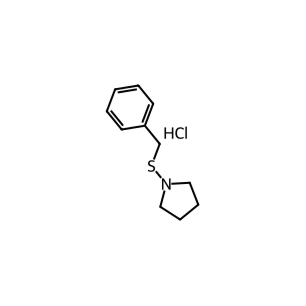 Cl.c1ccc(CSN2CCCC2)cc1